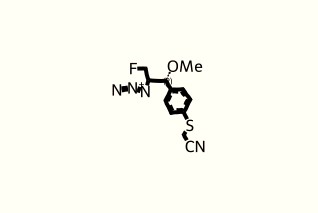 CO[C@H](c1ccc(SCC#N)cc1)C(CF)N=[N+]=[N-]